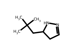 CC(C)(C)CC1CC=NN1